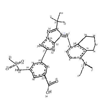 CN(C)c1ccc(/N=C2/C(C(C)(C)C)=Nn3nc(-c4cc(NS(C)(=O)=O)cc(C(=O)O)c4)nc32)c2c1CCCC2